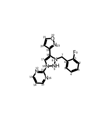 Fc1ccccc1CN1NN(c2ncccn2)C=C1c1ccon1